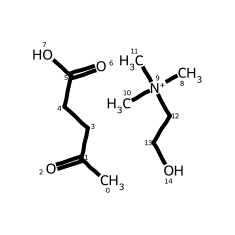 CC(=O)CCC(=O)O.C[N+](C)(C)CCO